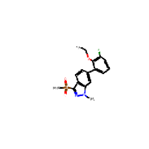 CNS(=O)(=O)c1nn(C)c2cc(-c3cccc(F)c3OCC(F)(F)F)ccc12